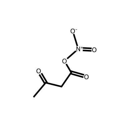 CC(=O)CC(=O)O[N+](=O)[O-]